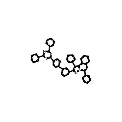 c1ccc(-c2nc(-c3ccccc3)nc(-c3ccc(-c4cccc(-c5nn6c(-c7ccccc7)cc7ccccc7c6c5-c5ccccc5)c4)cc3)n2)cc1